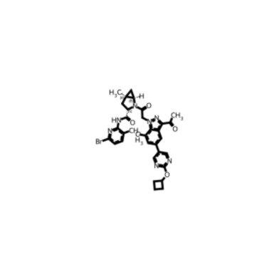 CC(=O)c1nn(CC(=O)N2[C@H](C(=O)Nc3nc(Br)ccc3C)C[C@@]3(C)C[C@@H]23)c2c(C)cc(-c3cnc(OC4CCC4)nc3)cc12